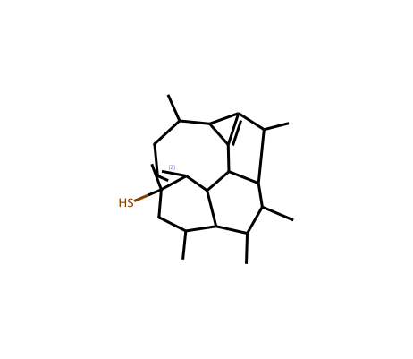 CC1C/C=C2/C3C4C5=C(C(C)C4C(C)C(C)C3C(C)CC2(C)S)C51